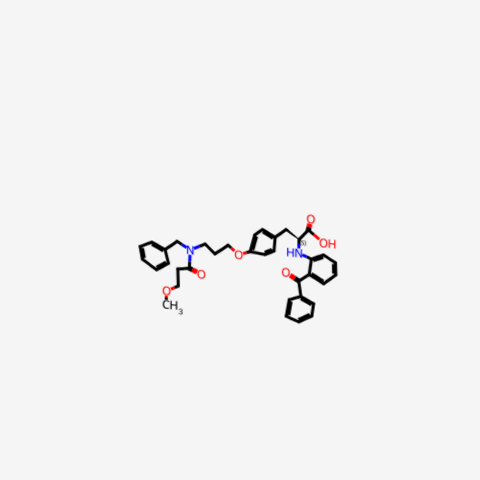 COCCC(=O)N(CCCOc1ccc(C[C@H](Nc2ccccc2C(=O)c2ccccc2)C(=O)O)cc1)Cc1ccccc1